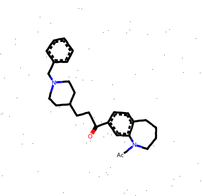 CC(=O)N1CCCCc2ccc(C(=O)CCC3CCN(Cc4ccccc4)CC3)cc21